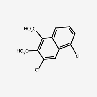 O=C(O)c1c(Cl)cc2c(Cl)cccc2c1C(=O)O